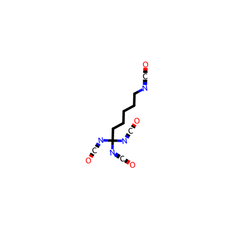 O=C=NCCCCCC(N=C=O)(N=C=O)N=C=O